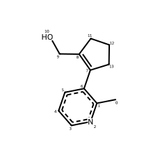 Cc1ncccc1C1=C(CO)CCC1